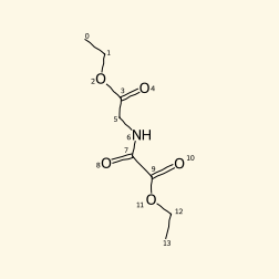 CCOC(=O)CNC(=O)C(=O)OCC